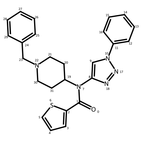 O=C(c1cccs1)N(c1cn(-c2ccccc2)nn1)C1CCN(Cc2ccccc2)CC1